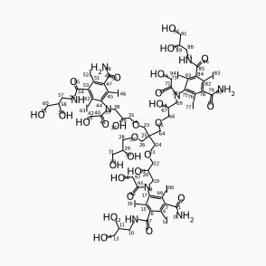 NC(=O)c1c(I)c(C(=O)NCC(O)CO)c(I)c(N(CC(O)COCC(COCC(O)CO)(COCC(O)CN(C(=O)CO)c2c(I)c(C(N)=O)c(I)c(C(=O)NCC(O)CO)c2I)COCC(O)CN(C(=O)CO)c2c(I)c(C(N)=O)c(I)c(C(=O)NCC(O)CO)c2I)C(=O)CO)c1I